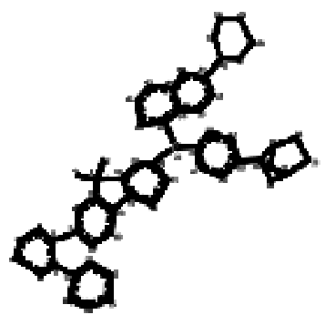 CC1(C)c2cc(-c3ccccc3-c3ccccc3)ccc2-c2ccc(N(c3ccc(C4CC5CCC4C5)cc3)c3cccc4cc(C5CCCCC5)ccc34)cc21